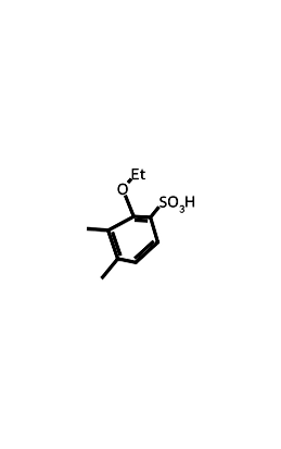 CCOc1c(S(=O)(=O)O)ccc(C)c1C